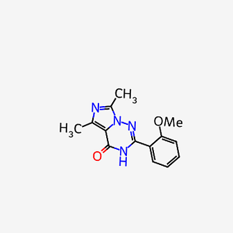 COc1ccccc1-c1nn2c(C)nc(C)c2c(=O)[nH]1